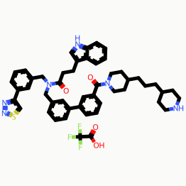 O=C(CCc1c[nH]c2ccccc12)N(Cc1cccc(-c2cccc(C(=O)N3CCC(CCCC4CCNCC4)CC3)c2)c1)Cc1cccc(-c2csnn2)c1.O=C(O)C(F)(F)F